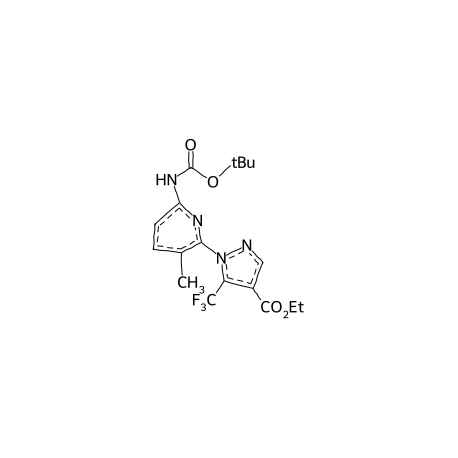 CCOC(=O)c1cnn(-c2nc(NC(=O)OC(C)(C)C)ccc2C)c1C(F)(F)F